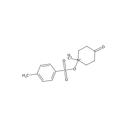 Cc1ccc(S(=O)(=O)O[N+]2(C)CCC(=O)CC2)cc1